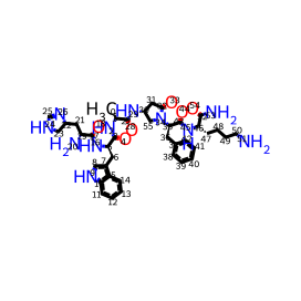 C[C@H](NC(=O)[C@@H](Cc1c[nH]c2ccccc12)NC(=O)[C@@H](N)CC1CNC=N1)C(=O)N[C@@H]1CC(=O)N([C@H](Cc2ccccc2)C(=O)N[C@@H](CCCCN)C(N)=O)C1